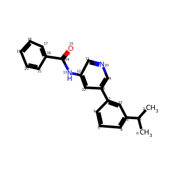 CC(C)c1cccc(-c2cncc(NC(=O)c3ccccc3)c2)c1